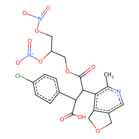 Cc1ncc2c(c1C(C(=O)OCC(CO[N+](=O)[O-])O[N+](=O)[O-])C(C(=O)O)c1ccc(Cl)cc1)COC2